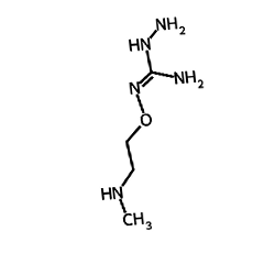 CNCCO/N=C(\N)NN